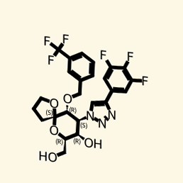 OC[C@H]1O[C@@]2(CCCO2)[C@H](OCc2cccc(C(F)(F)F)c2)[C@@H](n2cc(-c3cc(F)c(F)c(F)c3)nn2)[C@H]1O